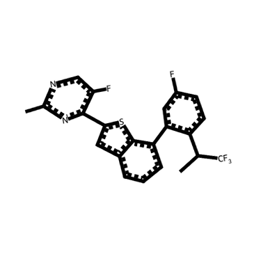 Cc1ncc(F)c(-c2cc3cccc(-c4cc(F)ccc4C(C)C(F)(F)F)c3s2)n1